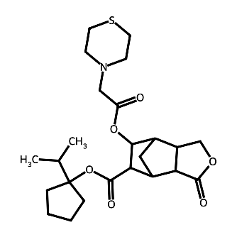 CC(C)C1(OC(=O)C2C3CC(C4COC(=O)C43)C2OC(=O)CN2CCSCC2)CCCC1